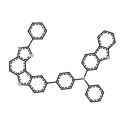 c1ccc(-c2nc3ccc4oc5ccc(-c6ccc(N(c7ccccc7)c7ccc8c(c7)oc7ccccc78)cc6)cc5c4c3o2)cc1